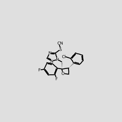 N#CSc1ncnn1C[C@@]1(c2ccc(F)cc2F)OC[C@H]1c1ccccc1Cl